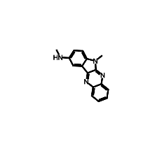 CNc1ccc2c(c1)c1nc3ccccc3nc1n2C